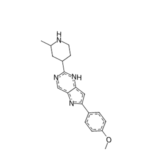 COc1ccc(-c2cc3[nH]c(C4CCNC(C)C4)ncc-3n2)cc1